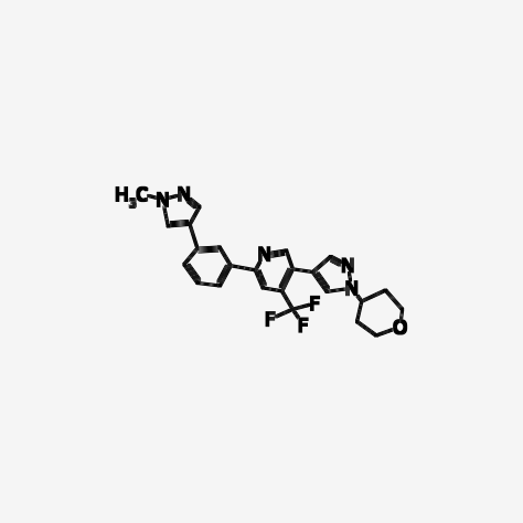 Cn1cc(-c2cccc(-c3cc(C(F)(F)F)c(-c4cnn(C5CCOCC5)c4)cn3)c2)cn1